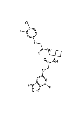 O=C(COc1ccc(Cl)c(F)c1)NCC1(NC(=O)COc2cc(F)c3cn[nH]c3c2)CCC1